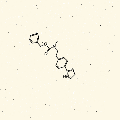 CN(CCc1ccc(C2=NCCN2)cc1)C(=O)OCc1ccccc1